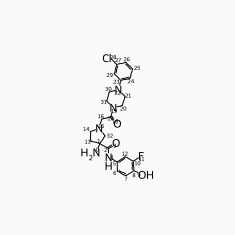 NC1(C(=O)Nc2ccc(O)c(F)c2)CCN(CC(=O)N2CCN(c3cccc(Cl)c3)CC2)C1